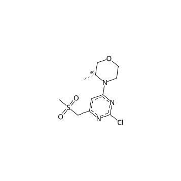 C[C@@H]1COCCN1c1cc(CS(C)(=O)=O)nc(Cl)n1